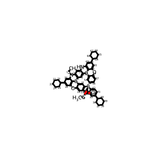 CSN1c2cc3c(cc2B2c4cc5c(cc4Oc4cc(C6CCCCC6)cc1c42)N(SC)c1cc(C2CCCCC2)cc2c1B5c1ccccc1O2)B1c2ccccc2Oc2cc(C4CCCCC4)cc(c21)N3